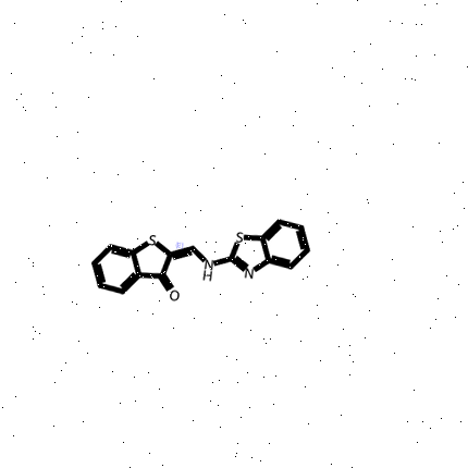 O=C1/C(=C\Nc2nc3ccccc3s2)Sc2ccccc21